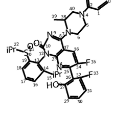 C=CC(=O)N1CCN(c2nc(=O)n(-c3c(C(C)C)cccc3[S+]([O-])C(C)C)c3nc(-c4c(O)cccc4F)c(F)cc23)C(C)C1